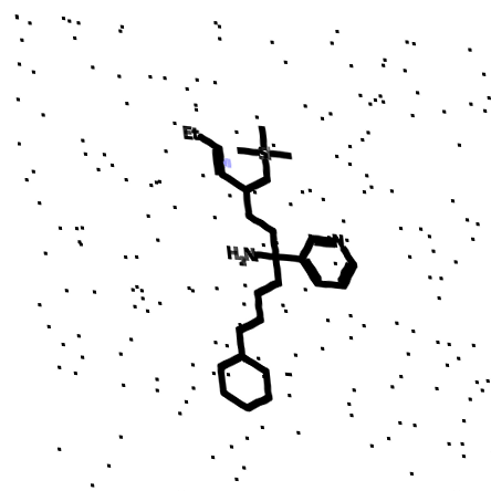 CC/C=C/C(CCC(N)(CCCCC1CCCCC1)c1cccnc1)C[Si](C)(C)C